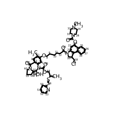 Cc1cc2c(cc1OCCCCCC(=O)N1CC(CCl)c3c1cc(OC(=O)N1CCN(C)CC1)c1ccccc31)N(C(=O)OCC(C)SSc1ccccn1)C(O)[C@@H]1CCCN1C2=O